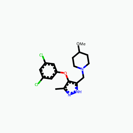 COC1CCN(Cc2[nH]nc(C)c2Oc2cc(Cl)cc(Cl)c2)CC1